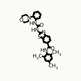 Cc1cc(C)c(NC(=O)c2ccc3nc(NC(=O)Nc4ccccc4N4CCOCC4)sc3c2)c(C)c1